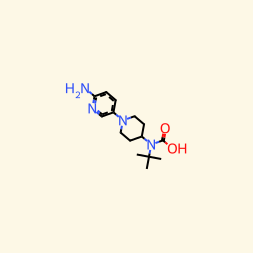 CC(C)(C)N(C(=O)O)C1CCN(c2ccc(N)nc2)CC1